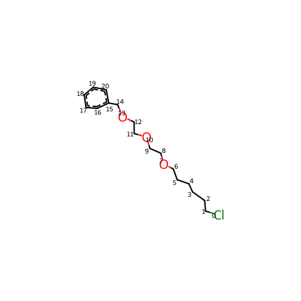 ClCCCCCCOCCOCCOCc1ccccc1